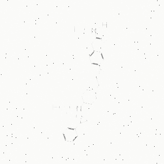 CN(C)C(=O)Cc1ccc(OCCN2CCC(N(C(=O)O)[C@@H]3C[C@H]3c3ccccc3)CC2)cc1